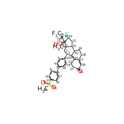 C[C@]12C[C@H](c3ccc(-c4ccc(S(C)(=O)=O)cc4)cc3)C3=C4CCC(=O)C=C4CCC3C1CC[C@@]2(O)C(F)(F)C(F)(F)F